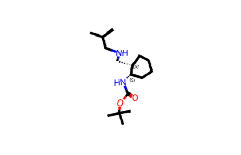 CC(C)CNC[C@@H]1CCCC[C@@H]1NC(=O)OC(C)(C)C